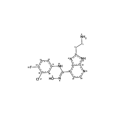 NCCc1nc2c(/C(=N/O)Nc3ccc(F)c(Cl)c3)ccnc2[nH]1